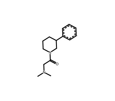 CN(C)CC(=O)N1CCCC(c2c[c]ccc2)C1